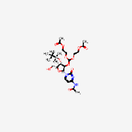 CC(=O)Nc1ccn([C@@H]2O[C@H](CO)[C@H](O[Si](C)(C)C(C)(C)C)C2OC(OCCOC(C)=O)OCCOC(C)=O)c(=O)n1